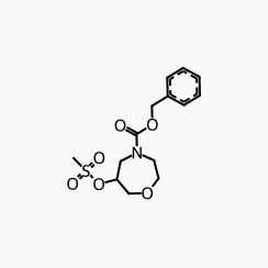 CS(=O)(=O)OC1COCCN(C(=O)OCc2ccccc2)C1